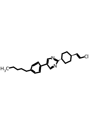 CCCCCc1ccc(-c2cnc([C@H]3CC[C@H](/C=C/Cl)CC3)nc2)cc1